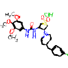 COc1cc(NC(=O)NC2CS(=O)(=O)C[C@H]2N2CCC(Cc3ccc(Cl)cc3)CC2)cc(OC)c1OC.Cl